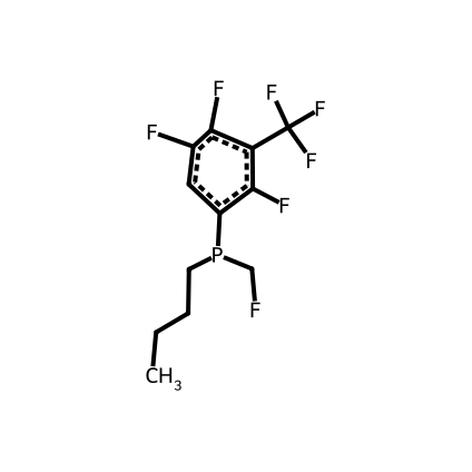 CCCCP(CF)c1cc(F)c(F)c(C(F)(F)F)c1F